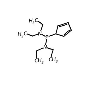 CCN(CC)P(C1C=CC=C1)N(CC)CC